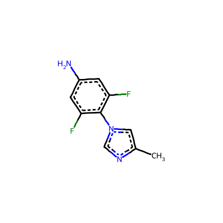 Cc1cn(-c2c(F)cc(N)cc2F)cn1